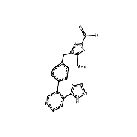 CCCCCc1nc(C(=O)CC)nn1Cc1ccc(-c2cnccc2-c2nnn[nH]2)cc1